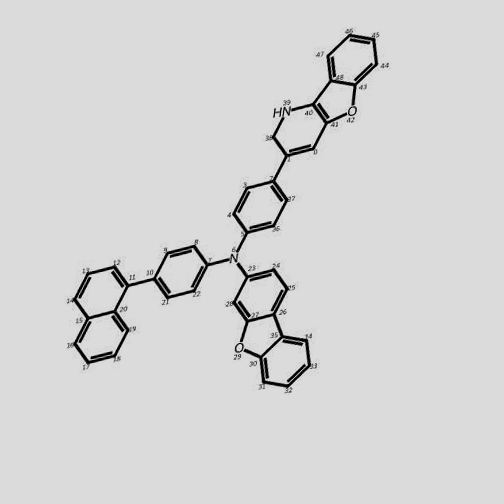 C1=C(c2ccc(N(c3ccc(-c4cccc5ccccc45)cc3)c3ccc4c(c3)oc3ccccc34)cc2)CNc2c1oc1ccccc21